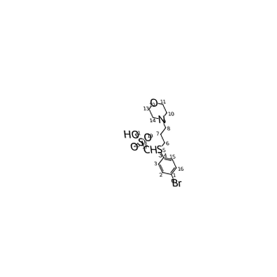 Brc1ccc(SCCCN2CCOCC2)cc1.CS(=O)(=O)O